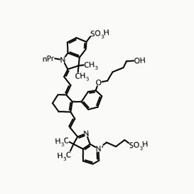 CCCN1/C(=C/C=C2\CCCC(/C=C/C3=Nc4c(ccc[n+]4CCCS(=O)(=O)O)C3(C)C)=C2c2cccc(OCCCCO)c2)C(C)(C)c2cc(S(=O)(=O)O)ccc21